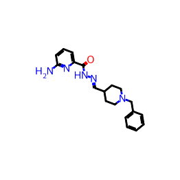 Nc1cccc(C(=O)NN=CC2CCN(Cc3ccccc3)CC2)n1